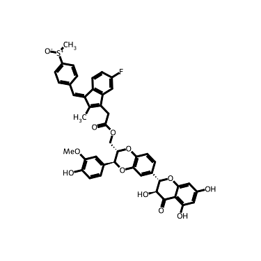 COc1cc([C@@H]2Oc3cc([C@@H]4Oc5cc(O)cc(O)c5C(=O)[C@H]4O)ccc3O[C@H]2COC(=O)CC2=C(C)/C(=C/c3ccc([S+](C)[O-])cc3)c3ccc(F)cc32)ccc1O